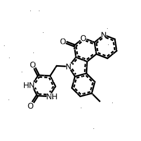 Cc1ccc2c(c1)c1c3cccnc3oc(=O)c1n2Cc1c[nH]c(=O)[nH]c1=O